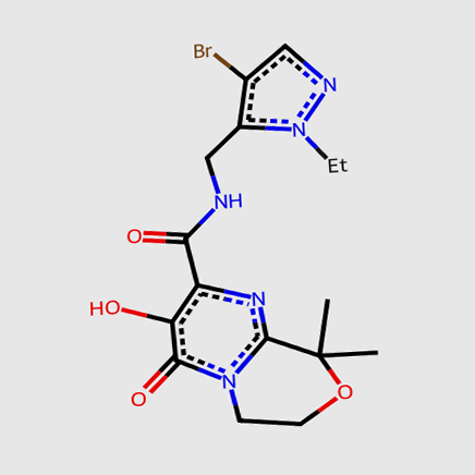 CCn1ncc(Br)c1CNC(=O)c1nc2n(c(=O)c1O)CCOC2(C)C